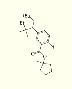 CCC(C)(C)C(CC(C)(C)C)c1ccc(I)c(C(=O)OC2(C)CCCC2)c1